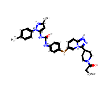 COCC(=O)N1CCC(c2nnc3ccc(Sc4ccc(NC(=O)Nc5cc(C(C)(C)C)nn5-c5ccc(C)cc5)cc4)cn23)CC1